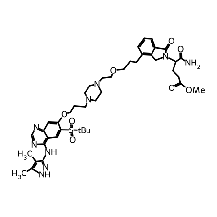 COC(=O)CCC(C(N)=O)N1Cc2c(CCCOCCN3CCN(CCCOc4cc5ncnc(Nc6n[nH]c(C)c6C)c5cc4S(=O)(=O)C(C)(C)C)CC3)cccc2C1=O